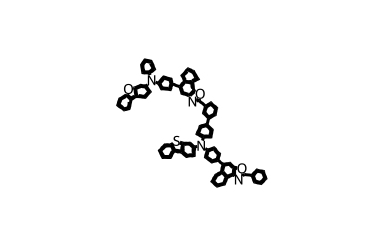 c1ccc(-c2nc3c(cc(-c4ccc(N(c5ccc(-c6cccc(-c7nc8cc(-c9ccc(N(c%10ccccc%10)c%10ccc%11c(c%10)oc%10ccccc%10%11)cc9)c9ccccc9c8o7)c6)cc5)c5ccc6c(c5)sc5ccccc56)cc4)c4ccccc43)o2)cc1